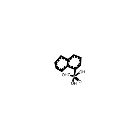 O=CS(=O)(O)(O)c1cccc2ccccc12